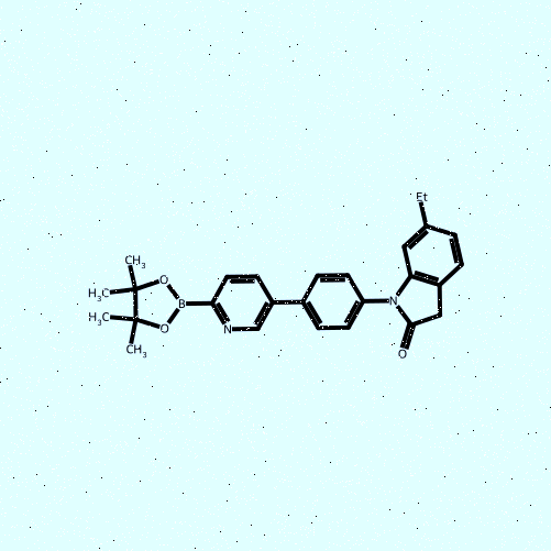 CCc1ccc2c(c1)N(c1ccc(-c3ccc(B4OC(C)(C)C(C)(C)O4)nc3)cc1)C(=O)C2